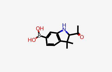 CC(=O)C1Nc2cc(B(O)O)ccc2C1(C)C